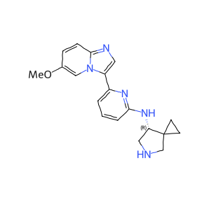 COc1ccc2ncc(-c3cccc(N[C@H]4CNCC45CC5)n3)n2c1